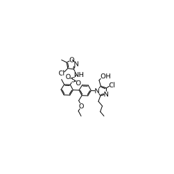 CCCCc1nc(Cl)c(CO)n1-c1ccc(-c2cccc(C)c2S(=O)(=O)Nc2noc(C)c2Cl)c(COCC)c1